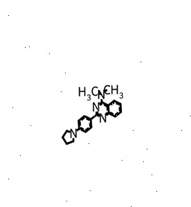 CN(C)c1nc(-c2ccc(N3CCCC3)cc2)nc2ccccc12